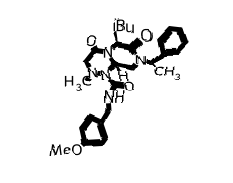 CCC(C)[C@H]1C(=O)N([C@@H](C)c2ccccc2)C[C@H]2N1C(=O)CN(C)N2C(=O)NCc1ccc(OC)cc1